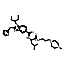 CCC(CC)n1c(Cc2cccs2)nc2cc(C(=O)NC(CC(C)C)C(=O)NCCCN3CCN(C)CC3)ccc21